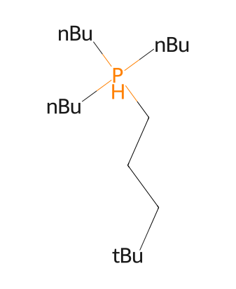 CCCC[PH](CCCC)(CCCC)CCCC(C)(C)C